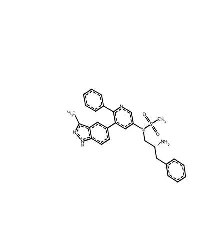 Cc1n[nH]c2ccc(-c3cc(N(C[C@H](N)Cc4ccccc4)S(C)(=O)=O)cnc3-c3ccccc3)cc12